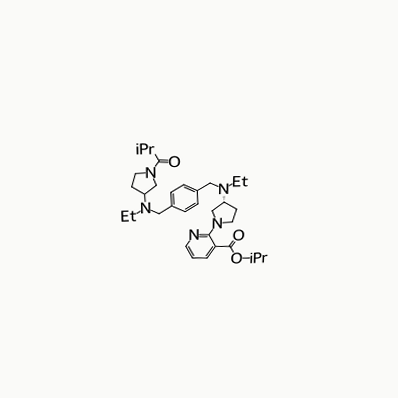 CCN(Cc1ccc(CN(CC)[C@@H]2CCN(c3ncccc3C(=O)OC(C)C)C2)cc1)C1CCN(C(=O)C(C)C)C1